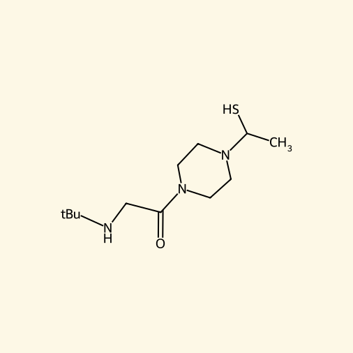 CC(S)N1CCN(C(=O)CNC(C)(C)C)CC1